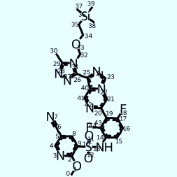 COc1ncc(C#N)cc1S(=O)(=O)Nc1ccc(F)c(-c2cn3cnc(-c4nnc(C)n4COCC[Si](C)(C)C)c3cn2)c1F